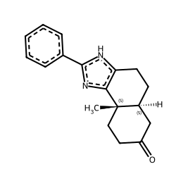 C[C@]12CCC(=O)C[C@@H]1CCc1[nH]c(-c3ccccc3)nc12